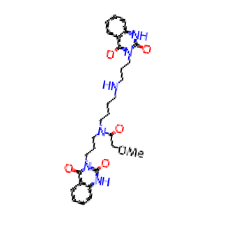 COCC(=O)N(CCCCNCCCn1c(=O)[nH]c2ccccc2c1=O)CCCn1c(=O)[nH]c2ccccc2c1=O